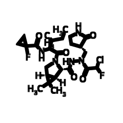 CCC(C)C(NC(=O)C1(F)CC1)C(=O)N1C[C@H]2[C@@H]([C@H]1C(=O)NN(C[C@@H]1CCNC1=O)C(=O)C(F)Cl)C2(C)C